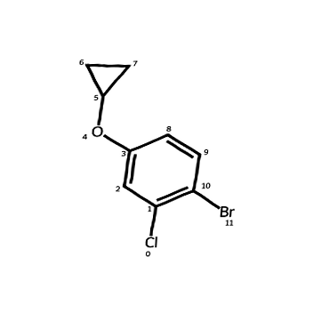 Clc1cc(OC2CC2)ccc1Br